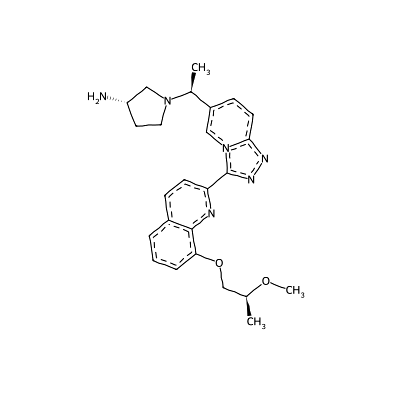 CO[C@@H](C)COc1cccc2ccc(-c3nnc4ccc([C@H](C)N5CC[C@H](N)C5)cn34)nc12